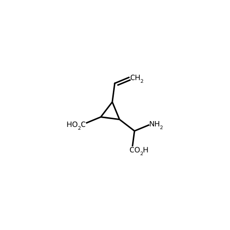 C=CC1C(C(=O)O)C1C(N)C(=O)O